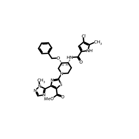 COC(=O)c1sc(N2CC[C@@H](NC(=O)c3cc(Cl)c(C)[nH]3)[C@@H](OCc3ccccc3)C2)nc1-c1ncnn1C